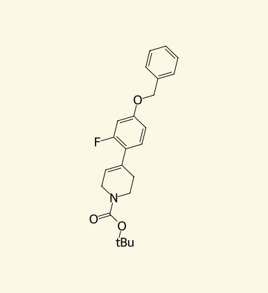 CC(C)(C)OC(=O)N1CC=C(c2ccc(OCc3ccccc3)cc2F)CC1